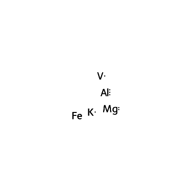 [Al].[Fe].[K].[Mg].[V]